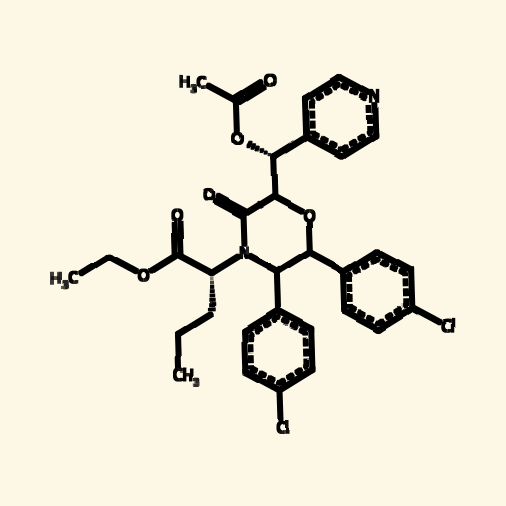 CCC[C@H](C(=O)OCC)N1C(=O)C([C@H](OC(C)=O)c2ccncc2)OC(c2ccc(Cl)cc2)C1c1ccc(Cl)cc1